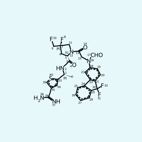 C[C@@H](NC(=O)[C@@H]1C[C@](F)(CF)CN1C(=O)CN(C=O)c1ccc2c(c1)-c1ccccc1C2(F)F)c1cc(C(=N)N)cs1